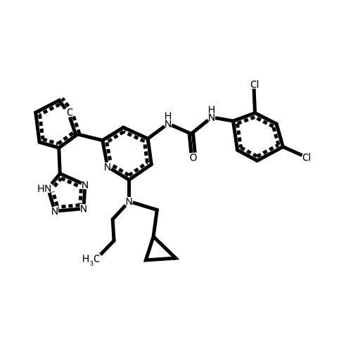 CCCN(CC1CC1)c1cc(NC(=O)Nc2ccc(Cl)cc2Cl)cc(-c2ccccc2-c2nnn[nH]2)n1